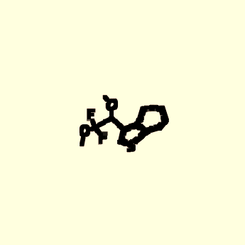 COC(c1csc2ccccc12)C(F)(F)OC